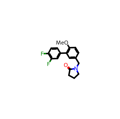 COc1ccc(CN2CCCC2=O)cc1-c1ccc(F)c(F)c1